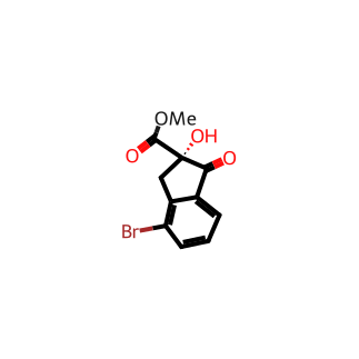 COC(=O)[C@]1(O)Cc2c(Br)cccc2C1=O